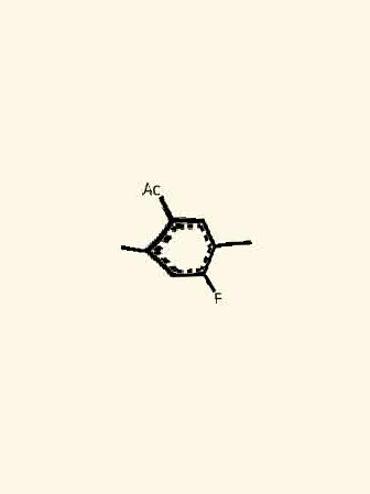 CC(=O)c1cc(C)c(F)cc1C